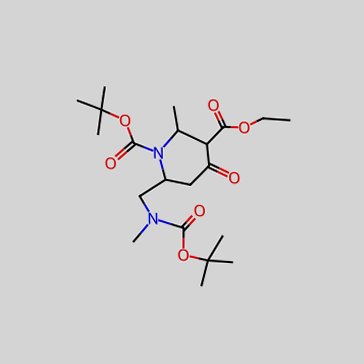 CCOC(=O)C1C(=O)CC(CN(C)C(=O)OC(C)(C)C)N(C(=O)OC(C)(C)C)C1C